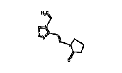 C=Cn1ccnc1C=CN1CCCC1=O